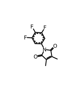 CC1=C(C)C(=O)N(c2cc(F)c(F)c(F)c2)C1=O